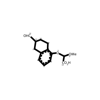 COC(Oc1cccc2c1CCC(C=O)C2)C(=O)O